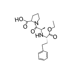 CCOC(=O)[C@H](CCc1ccccc1)N[C@H](C)C(=O)N1CCCC1C(=O)O